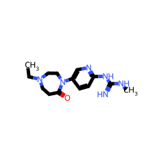 CCN1CCC(=O)N(c2ccc(NC(=N)NC)nc2)CC1